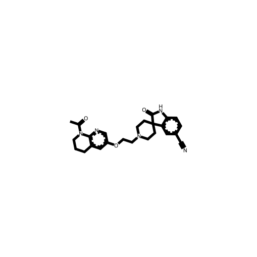 CC(=O)N1CCCc2cc(OCCN3CCC4(CC3)C(=O)Nc3ccc(C#N)cc34)cnc21